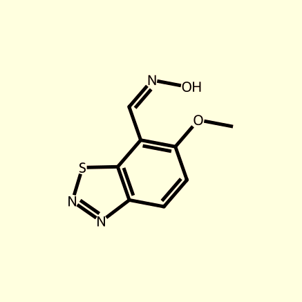 COc1ccc2nnsc2c1/C=N\O